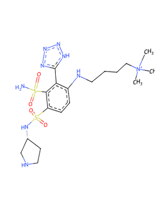 C[N+](C)(C)CCCCNc1ccc(S(=O)(=O)N[C@@H]2CCNC2)c(S(N)(=O)=O)c1-c1nnn[nH]1